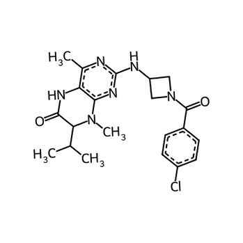 Cc1nc(NC2CN(C(=O)c3ccc(Cl)cc3)C2)nc2c1NC(=O)C(C(C)C)N2C